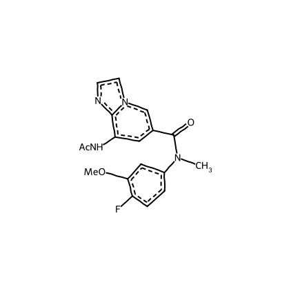 COc1cc(N(C)C(=O)c2cc(NC(C)=O)c3nccn3c2)ccc1F